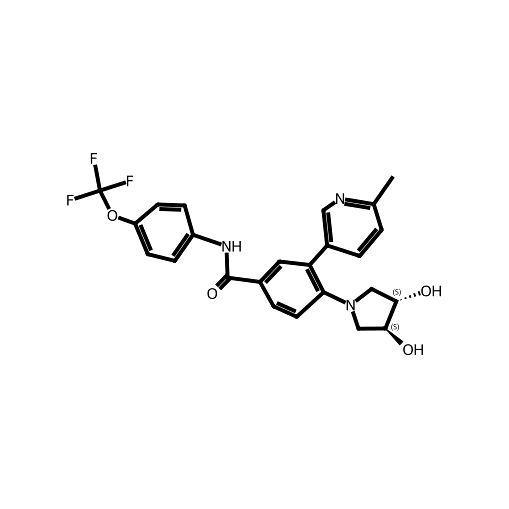 Cc1ccc(-c2cc(C(=O)Nc3ccc(OC(F)(F)F)cc3)ccc2N2C[C@H](O)[C@@H](O)C2)cn1